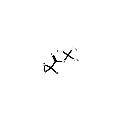 CC(C)(C)OC(=O)C1(Br)OO1